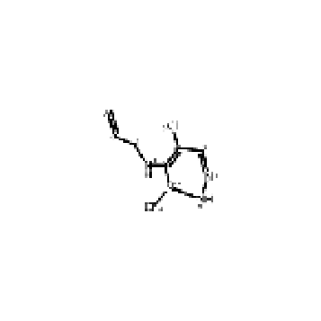 C=CCNC1=C(Cl)C=NNN1Cl